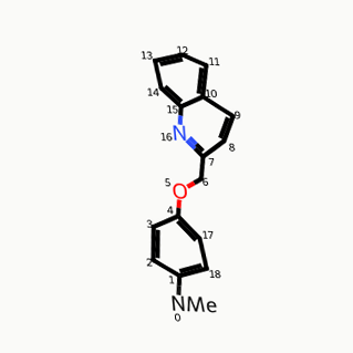 CNc1ccc(OCc2ccc3ccccc3n2)cc1